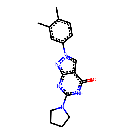 Cc1ccc(-n2cc3c(=O)[nH]c(N4CCCC4)nc3n2)cc1C